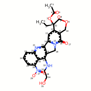 CC[C@@]1(OC(C)=O)C(=O)OCc2c1cc1n(c2=O)Cc2c-1nc1cccc([N+](=O)[O-])c1c2NCCO